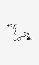 CCCCC1(C(O)C=C[C@H]2C=CC(=O)[C@@H]2C/C=C\CCCC(=O)O)CCC1